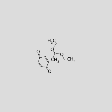 CCOC(C)OCC.O=C1C=CC(=O)C=C1